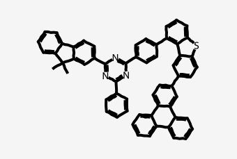 CC1(C)c2ccccc2-c2ccc(-c3nc(-c4ccccc4)nc(-c4ccc(-c5cccc6sc7ccc(-c8ccc9c%10ccccc%10c%10ccccc%10c9c8)cc7c56)cc4)n3)cc21